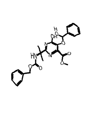 COC(=O)c1nc(C(C)(C)NC(=O)OCc2ccccc2)nc(O)c1OC(O)c1ccccc1